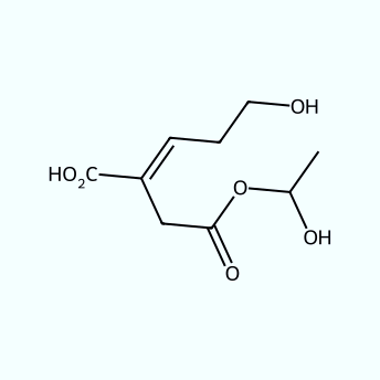 CC(O)OC(=O)CC(=CCCO)C(=O)O